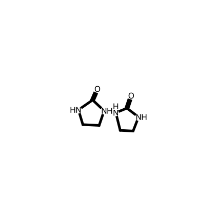 O=C1NCCN1.O=C1NCCN1